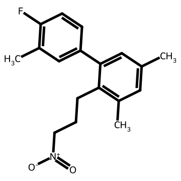 Cc1cc(C)c(CCC[N+](=O)[O-])c(-c2ccc(F)c(C)c2)c1